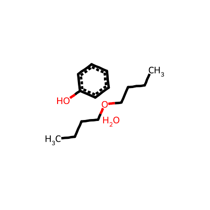 CCCCOCCCC.O.Oc1ccccc1